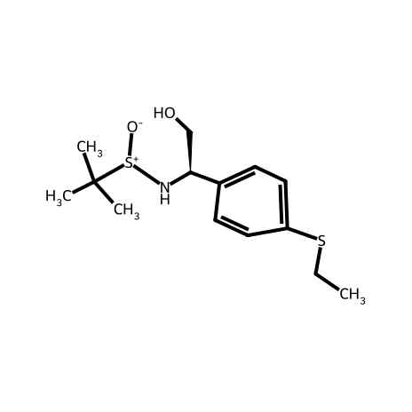 CCSc1ccc([C@H](CO)N[S+]([O-])C(C)(C)C)cc1